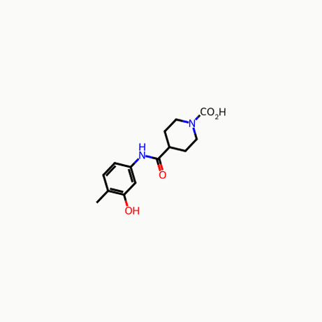 Cc1ccc(NC(=O)C2CCN(C(=O)O)CC2)cc1O